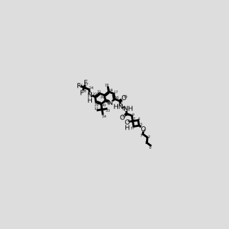 CCCCOC1CC(O)(CC(=O)NNC(=O)c2cc(C)c3cc(NCC(F)(F)F)cc(C(C)(C)C)c3n2)C1